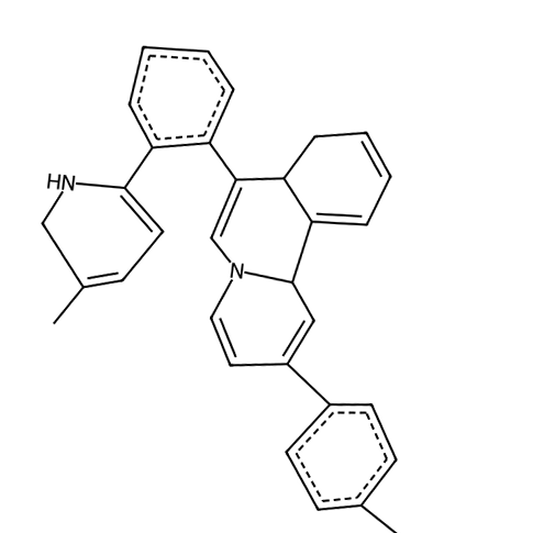 CC1=CC=C(c2ccccc2C2=CN3C=CC(c4ccc(C)cc4)=CC3C3=CC=CCC23)NC1